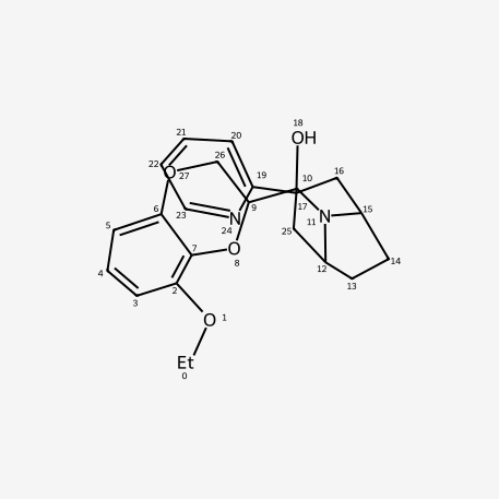 CCOc1cccc2c1OC(CN1C3CCC1CC(O)(c1ccccn1)C3)CO2